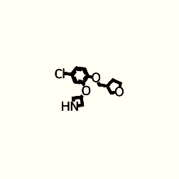 Clc1ccc(OCC2CCOC2)c(OC2CNC2)c1